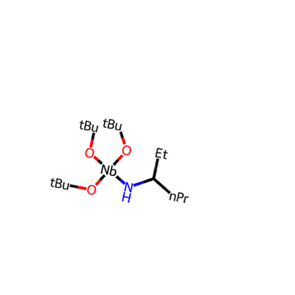 CCCC(CC)[NH][Nb]([O]C(C)(C)C)([O]C(C)(C)C)[O]C(C)(C)C